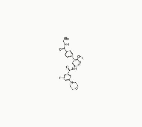 Cc1ncc(NC(=O)c2cc(F)cc(N3CCOCC3)c2)cc1-c1ccc(C(=O)NCC(C)(C)C)cc1